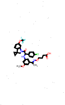 COc1cc(NC(C(=O)N2CC3(CC3)c3ccc(OC(F)(F)F)cc32)c2ccc(Cl)cc2)cc(C(C)=NOCCCC(=O)O)c1